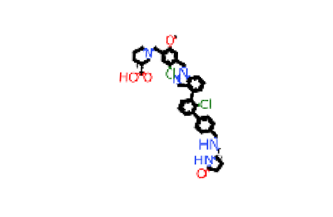 COc1cc(Cn2ncc3c(-c4cccc(-c5ccc(CNC[C@@H]6CCC(=O)N6)cc5)c4Cl)cccc32)c(Cl)cc1CN1CCC[C@H](C(=O)O)C1